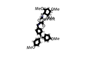 CCCCCN1C(=O)/C(=C\c2ccc(N(c3ccc(OC)cc3)c3ccc(OC)cc3)cc2)O/C1=N/C1=C(OC)CC(OC)C=C1OC